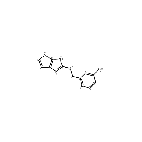 COc1ccnc(CSc2nc3ccsc3[nH]2)c1